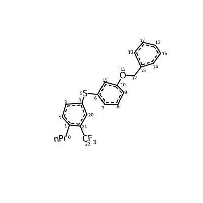 CCCc1ccc(Sc2cccc(OCc3ccccc3)c2)cc1C(F)(F)F